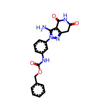 Nc1c2c(nn1-c1cccc(NC(=O)OCc3ccccc3)c1)CC(=O)NC2=O